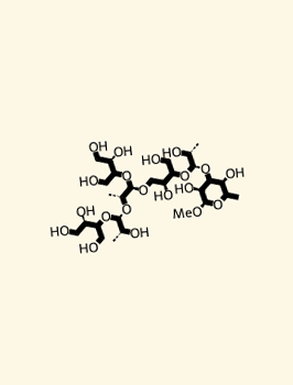 CO[C@@H]1OC(C)[C@H](O)C(O[C@H](OC(CO)[C@@H](O)CO[C@H](OC(CO)[C@@H](O)CO)[C@@H](C)O[C@@H](OC(CO)[C@@H](O)CO)[C@@H](C)O)[C@@H](C)O)[C@@H]1O